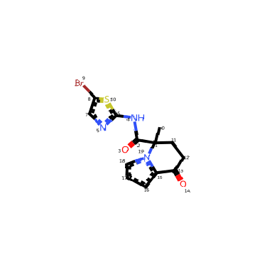 CC1(C(=O)Nc2ncc(Br)s2)CCC(=O)c2cccn21